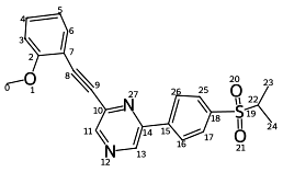 COc1ccccc1C#Cc1cncc(-c2ccc(S(=O)(=O)C(C)C)cc2)n1